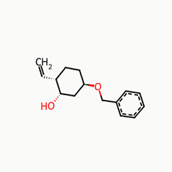 C=C[C@@H]1CC[C@@H](OCc2ccccc2)C[C@@H]1O